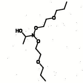 CCCOCCON(OCCOCCC)C(C)O